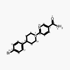 NC(=O)c1ccc(N2CCC(c3ccc(Br)cc3)CC2)nc1